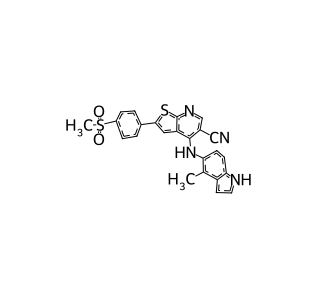 Cc1c(Nc2c(C#N)cnc3sc(-c4ccc(S(C)(=O)=O)cc4)cc23)ccc2[nH]ccc12